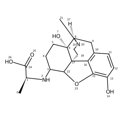 C[C@H](NC1CC[C@@]2(O)[C@H]3Cc4ccc(O)c5c4[C@@]2(CCN3C)C1O5)C(=O)O